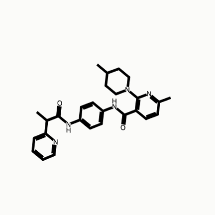 Cc1ccc(C(=O)Nc2ccc(NC(=O)C(C)c3ccccn3)cc2)c(N2CCC(C)CC2)n1